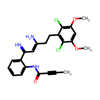 CC#CC(=O)Nc1ccccc1C(=N)/C=C(\N)CCc1c(Cl)c(OC)cc(OC)c1Cl